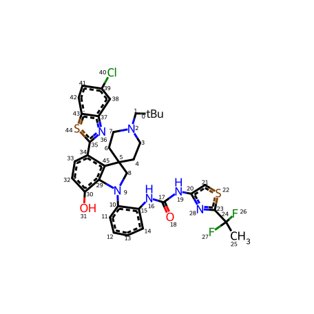 CC(C)(C)CN1CCC2(CC1)CN(c1ccccc1NC(=O)Nc1csc(C(C)(F)F)n1)c1c(O)ccc(-c3nc4cc(Cl)ccc4s3)c12